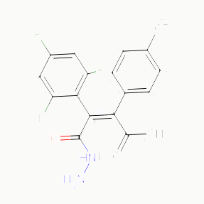 C=C(C)/C(=C(\C(=O)NN)c1c(F)cc(F)cc1F)c1ccc(C(F)(F)F)cc1